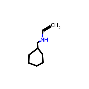 C=CNCC1CCCCC1